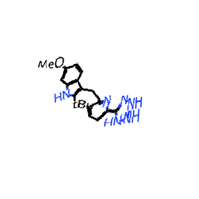 COc1ccc2c(Cc3cccc(C4=NNNN4)n3)c(C(C)(C)C)[nH]c2c1